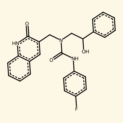 O=C(Nc1ccc(F)cc1)N(Cc1cc2ccccc2[nH]c1=O)CC(O)c1ccccc1